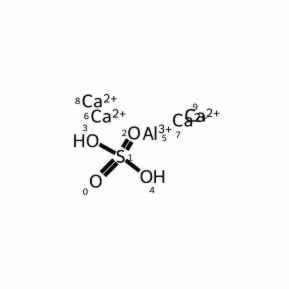 O=S(=O)(O)O.[Al+3].[Ca+2].[Ca+2].[Ca+2].[Ca+2]